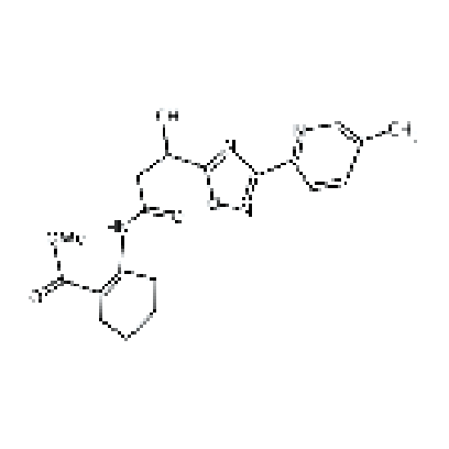 COC(=O)C1=C(NC(=O)CC(C)c2nc(-c3ccc(C)cn3)no2)CCCC1